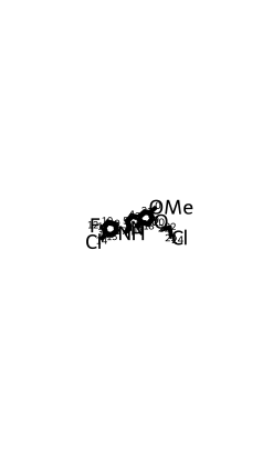 COc1cc2ccc(Nc3ccc(F)c(Cl)c3)nc2cc1OCCCCl